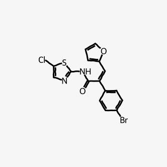 O=C(Nc1ncc(Cl)s1)C(=Cc1ccco1)c1ccc(Br)cc1